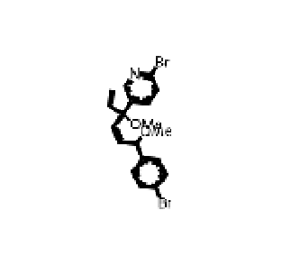 C=C[C@](/C=C\C(OC)c1ccc(Br)cc1)(OC)c1ccc(Br)nc1